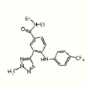 CCN(CC)C(=O)c1ccc(Nc2ccc(C(F)(F)F)cc2)c(-c2nnn(C)n2)c1